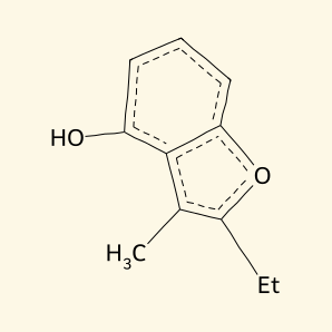 CCc1oc2cccc(O)c2c1C